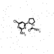 NC(=O)[C@H]1CCCN1c1cc(Cl)nc(N)n1